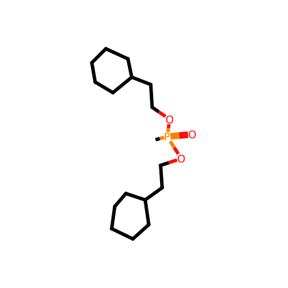 CP(=O)(OCCC1CCCCC1)OCCC1CCCCC1